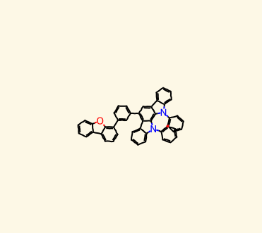 c1ccc(-n2c3ccccc3c3cc(-c4cccc(-c5cccc6c5oc5ccccc56)c4)c4c5ccccc5n(-c5ccccc5)c4c32)cc1